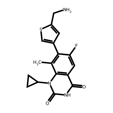 Cc1c(-c2csc(CN)c2)c(F)cc2c(=O)[nH]c(=O)n(C3CC3)c12